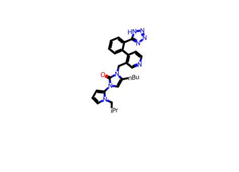 CCCCc1cn(-c2cccn2CC(C)C)c(=O)n1Cc1cnccc1-c1ccccc1-c1nnn[nH]1